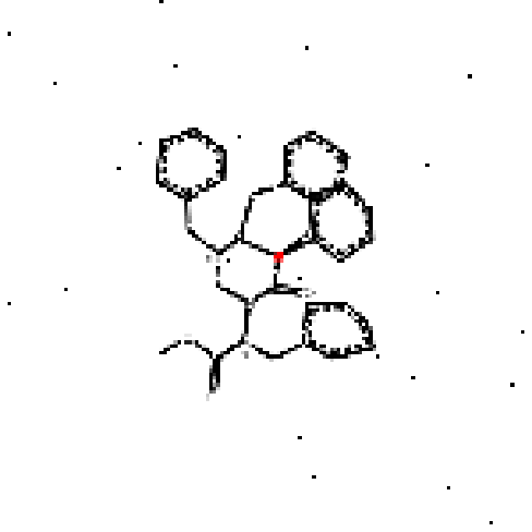 COC(=O)[C@H](Cc1ccccc1)N(C[C@H](Cc1ccccc1)N(Cc1ccccc1)Cc1ccccc1)C(=O)CCl